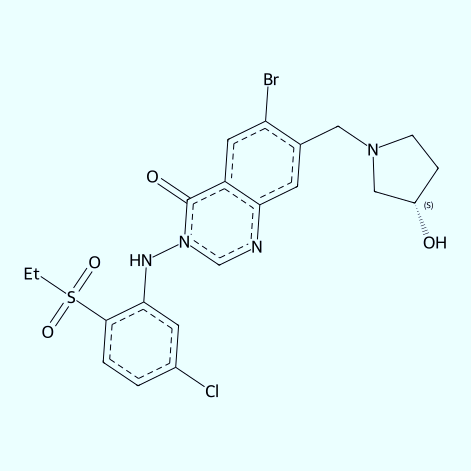 CCS(=O)(=O)c1ccc(Cl)cc1Nn1cnc2cc(CN3CC[C@H](O)C3)c(Br)cc2c1=O